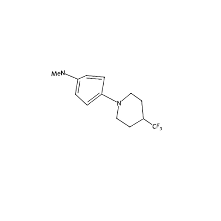 CNc1ccc(N2CCC(C(F)(F)F)CC2)cc1